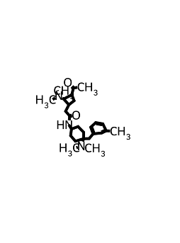 CC(=O)C1CC(CC(=O)NC2CCC(Cc3cccc(C)c3)(N(C)C)CC2)C1N(C)C